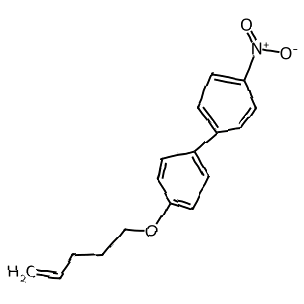 C=CCCCOc1ccc(-c2ccc([N+](=O)[O-])cc2)cc1